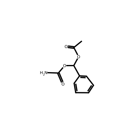 CC(=O)OC(OC(N)=O)c1ccccc1